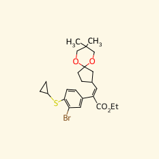 CCOC(=O)C(=CC1CCC2(C1)OCC(C)(C)CO2)c1ccc(SC2CC2)c(Br)c1